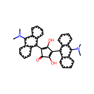 CN(C)c1c2ccccc2c(C2=C(O)C(c3c4ccccc4c(N(C)C)c4ccccc34)=C(O)C2=O)c2ccccc12